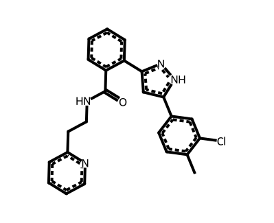 Cc1ccc(-c2cc(-c3ccccc3C(=O)NCCc3ccccn3)n[nH]2)cc1Cl